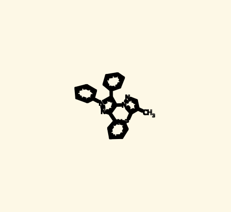 Cc1cnn(-c2c(-c3ccccc3)nn(-c3ccccc3)c2-c2ccccc2)c1P